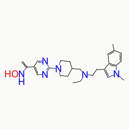 C=C(NO)c1cnc(N2CCC(CN(CC)CCc3cn(C)c4ccc(C)cc34)CC2)nc1